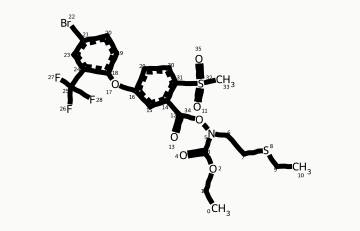 CCOC(=O)N(CCSCC)OC(=O)c1cc(Oc2ccc(Br)cc2C(F)(F)F)ccc1S(C)(=O)=O